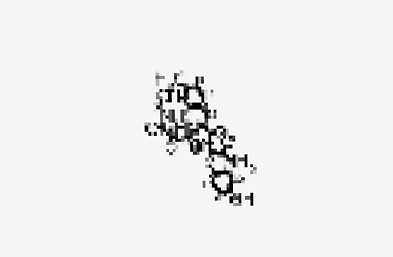 CCNC(=O)C1OC1C(=O)N[C@@H](Cc1ccc(C)cc1)C(=O)N[C@@H](Cc1ccc(O)cc1)C(N)=O